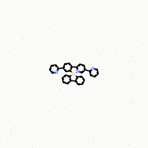 c1ccc(-c2ccc3c(c2)[B-]2(c4ccccc4-c4ccccc42)[n+]2cc(-c4ccccn4)ccc2-3)nc1